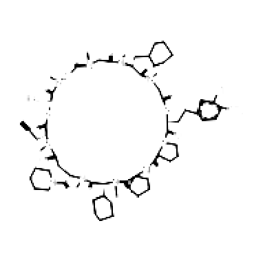 C#CC[C@H]1C(=O)N[C@@H]([C@@H](C)CC)C(=O)N(C)CC(=O)N(C)CC(=O)N(C)[C@@H](CC2CCCCC2)C(=O)N(C)CC(=O)N[C@@H](CCc2ccc(C(F)(F)F)c(Cl)c2)C(=O)N2CCC[C@H]2C(=O)NC2(CCCC2)C(=O)N(C)[C@@H](C2CCCCC2)C(=O)N(C)[C@H](C(=O)N2CCCCC2)CC(=O)N1C